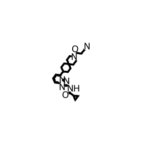 N#CCC(=O)N1CCC2(CCC(c3cccc4nc(NC(=O)C5CC5)nn34)CC2)CC1